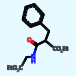 CCOC(=O)CNC(=O)C(Cc1ccccc1)C(=O)OCC